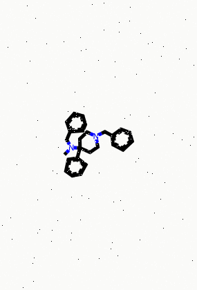 CN(Cc1ccccc1)C1(c2ccccc2)CCN(Cc2ccccc2)CC1